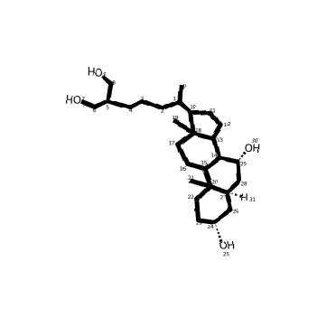 CC(CCCC(CO)CO)C1CCC2C3C(CCC12C)C1(C)CC[C@@H](O)C[C@@H]1C[C@H]3O